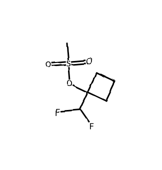 CS(=O)(=O)OC1(C(F)F)CCC1